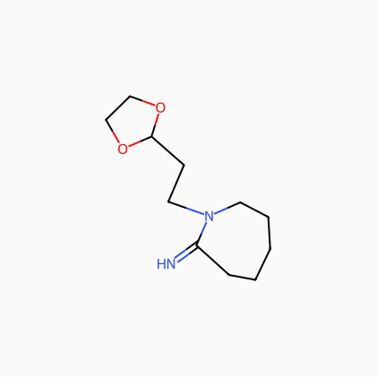 N=C1CCCCCN1CCC1OCCO1